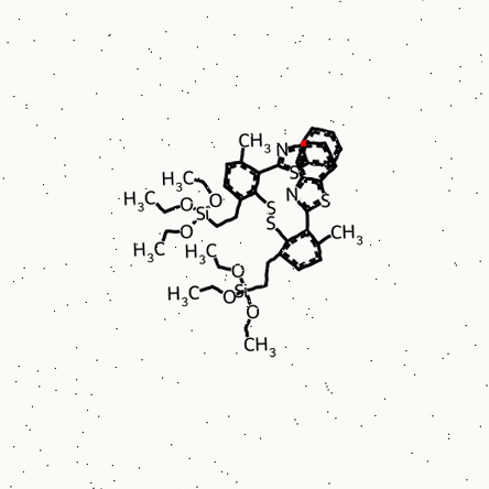 CCO[Si](CCc1ccc(C)c(-c2nc3ccccc3s2)c1SSc1c(CC[Si](OCC)(OCC)OCC)ccc(C)c1-c1nc2ccccc2s1)(OCC)OCC